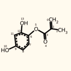 C=C(C)C(=O)Oc1ccc(O)cc1O